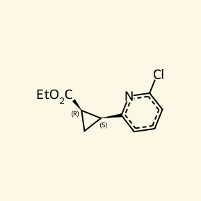 CCOC(=O)[C@@H]1C[C@@H]1c1cccc(Cl)n1